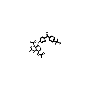 CC(=O)O[C@@H]1[C@@H](OC(C)=O)[C@@H](Sc2ccc(C(=O)c3ccc(C(F)(F)F)cc3)cc2)SC[C@H]1OC(C)=O